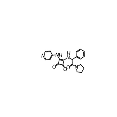 O=C(C(Nc1c(Nc2ccncc2)c(=O)c1=O)c1ccccc1)N1CCCC1